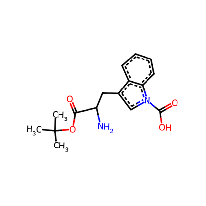 CC(C)(C)OC(=O)C(N)Cc1cn(C(=O)O)c2ccccc12